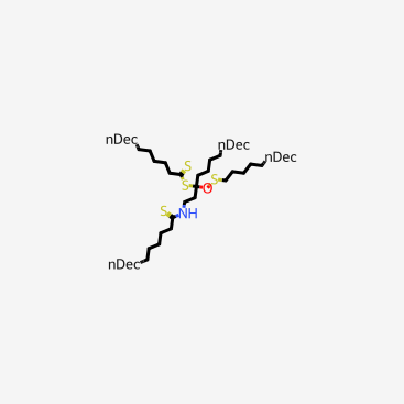 CCCCCCCCCCCCCCCSOC(CCCCCCCCCCCCCC)(CCNC(=S)CCCCCCCCCCCCCCC)SC(=S)CCCCCCCCCCCCCCC